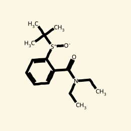 CCN(CC)C(=O)c1ccccc1[S+]([O-])C(C)(C)C